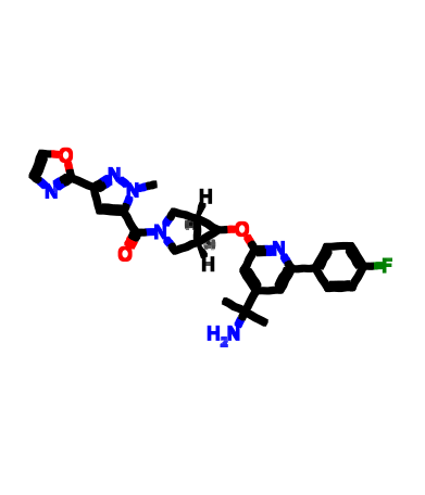 Cn1nc(-c2ncco2)cc1C(=O)N1C[C@@H]2C(Oc3cc(C(C)(C)N)cc(-c4ccc(F)cc4)n3)[C@@H]2C1